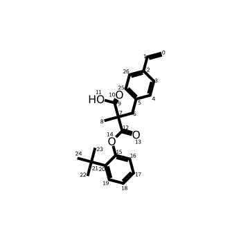 C=Cc1ccc(CC(C)(C(=O)O)C(=O)Oc2ccccc2C(C)(C)C)cc1